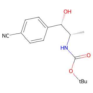 C[C@H](NC(=O)OC(C)(C)C)[C@@H](O)c1ccc(C#N)cc1